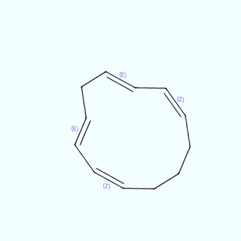 C1=C\CCC/C=C\C=C\C/C=C/1